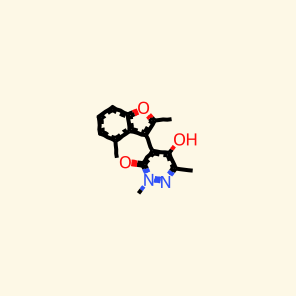 Cc1nn(C)c(=O)c(-c2c(C)oc3cccc(C)c23)c1O